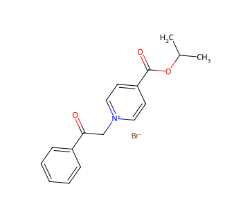 CC(C)OC(=O)c1cc[n+](CC(=O)c2ccccc2)cc1.[Br-]